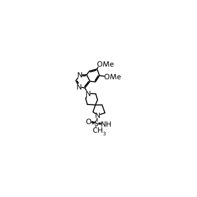 COc1cc2ncnc(N3CCC4(CC3)CCN([S@](C)(=N)=O)C4)c2cc1OC